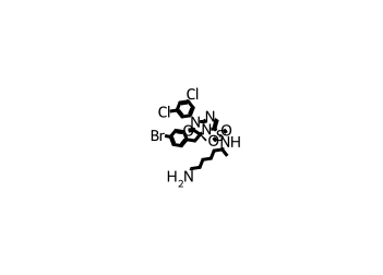 CC(CCCCCN)NS(=O)(=O)c1cnc2n1[C@](C)(Cc1ccc(Br)cc1)C(=O)N2c1cc(Cl)cc(Cl)c1